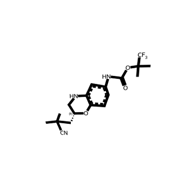 CC(C)(C#N)C[C@@H]1CNc2cc(NC(=O)OC(C)(C)C(F)(F)F)ccc2O1